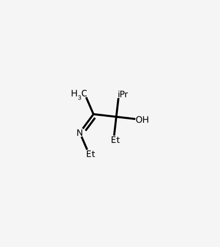 CCN=C(C)C(O)(CC)C(C)C